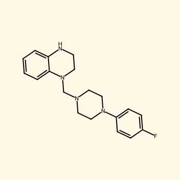 Fc1ccc(N2CCN(CN3CCNc4ccccc43)CC2)cc1